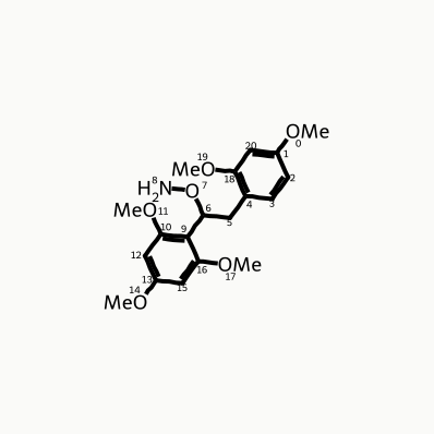 COc1ccc(CC(ON)c2c(OC)cc(OC)cc2OC)c(OC)c1